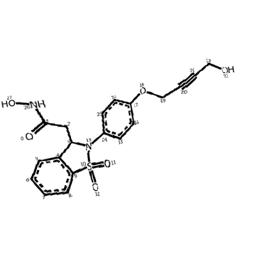 O=C(CC1c2ccccc2S(=O)(=O)N1c1ccc(OCC#CCO)cc1)NO